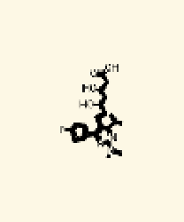 CC(C)c1nc(N(C)C)nc(-c2ccc(F)cc2)c1/C=C/[C@@H](O)C[C@@H](O)CC(=O)O